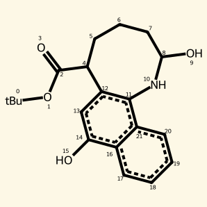 CC(C)(C)OC(=O)C1CCCC(O)Nc2c1cc(O)c1ccccc21